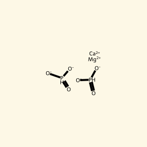 O=[PH]([O-])[O-].O=[PH]([O-])[O-].[Ca+2].[Mg+2]